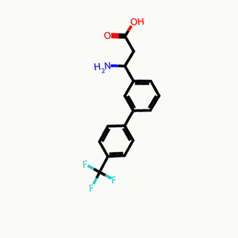 NC(CC(=O)O)c1cccc(-c2ccc(C(F)(F)F)cc2)c1